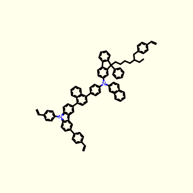 C=Cc1ccc(CC(CC)CCCCC2(c3ccccc3)c3ccccc3-c3ccc(N(c4ccc(-c5ccc(-c6ccc7c(c6)c6cc(-c8ccc(C=C)cc8)ccc6n7-c6ccc(C=C)cc6)c6ccccc56)cc4)c4ccc5ccccc5c4)cc32)cc1